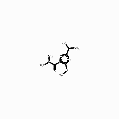 CSc1nc(C(C)C)nn1C(=O)N(C)C